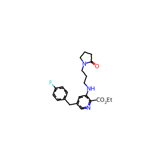 CCOC(=O)c1ncc(Cc2ccc(F)cc2)cc1NCCCN1CCCC1=O